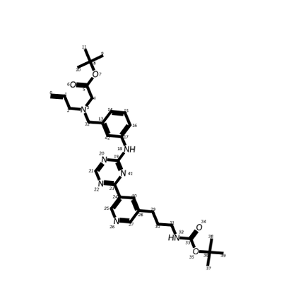 C=CCN(CC(=O)OC(C)(C)C)Cc1cccc(Nc2ncnc(-c3cncc(CCCNC(=O)OC(C)(C)C)c3)n2)c1